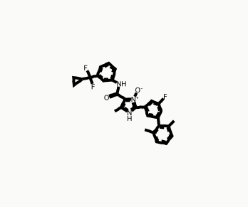 Cc1cccc(C)c1-c1cc(F)cc(-c2[nH]c(C)c(C(=O)Nc3cccc(C(F)(F)C4CC4)c3)[n+]2[O-])c1